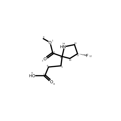 COC(=O)C1(CCC(=O)O)C[C@@H](F)CN1